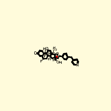 C[C@]12C=CC(=O)C=C1[C@@H](F)C[C@H]1[C@@H]3C[C@H]4CN(c5ccc(Cc6ccncc6)cc5)O[C@@]4(C(=O)CO)[C@@]3(C)C[C@H](O)[C@@]12F